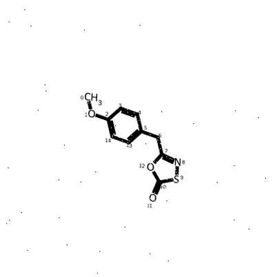 COc1ccc(Cc2nsc(=O)o2)cc1